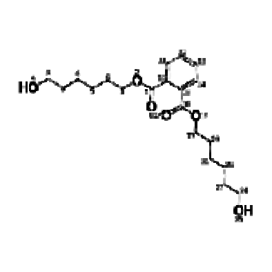 O=C(OCCCCCCO)c1ccccc1C(=O)OCCCCCCO